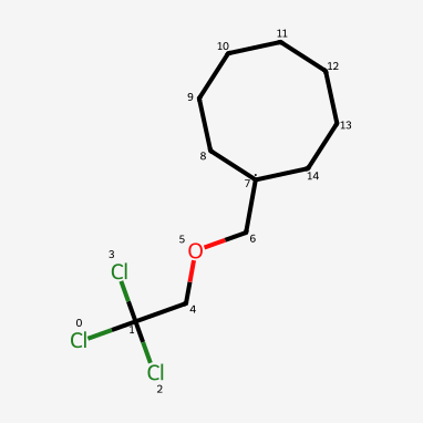 ClC(Cl)(Cl)COC[C]1CCCCCCC1